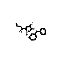 C=CCC(=O)c1cc(=O)c(OC(c2ccccc2)c2ccccc2)c[nH]1